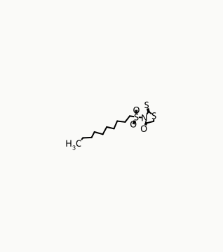 CCCCCCCCCCS(=O)(=O)N1C(=O)CSC1=S